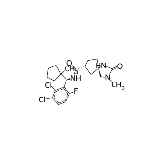 CN1C[C@@]2(CC[C@@H](C(=O)N[C@@H](c3c(F)ccc(Cl)c3Cl)C3(C)CCCC3)C2)NC1=O